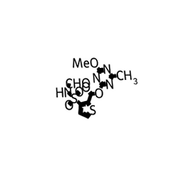 COc1nc(C)nc(OC(=O)c2sccc2S(=O)(=O)NC=O)n1